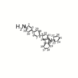 Nc1ccc(-c2ccc(-c3ccc4c(c3)c3ccccc3n4-c3ccccc3)cc2)cc1